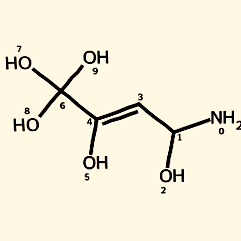 NC(O)C=C(O)C(O)(O)O